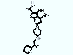 CCCc1cc(N2CCC(NCC(O)c3ccccn3)CC2)nc2sc(C(N)=O)c(N)c12